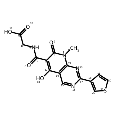 Cn1c(=O)c(C(=O)NCC(=O)O)c(O)c2cnc(-c3ccsc3)nc21